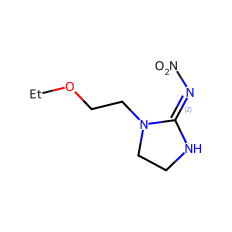 CCOCCN1CCN/C1=N/[N+](=O)[O-]